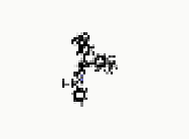 C(=N\Nc1ccccc1)/c1cc(-c2ccc3c(c2)OCO3)c(-c2ccc3c(c2)OCO3)o1